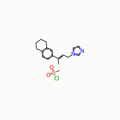 CC(=CCn1ccnc1)c1ccc2c(c1)CCCC2.CS(=O)(=O)Cl